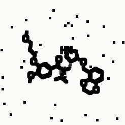 COCCCOc1cc(C(=O)N(C[C@@H]2CNC[C@H]2OCc2cccc3c2OCCO3)C(C)C)ccc1OC